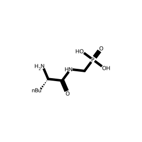 CCCC[C@H](N)C(=O)NCP(=O)(O)O